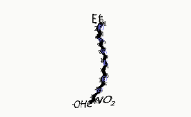 CC/C=C/C/C=C/C/C=C/C/C=C/C/C=C/C/C=C/CC([C]=O)[N+](=O)[O-]